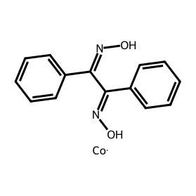 ON=C(C(=NO)c1ccccc1)c1ccccc1.[Co]